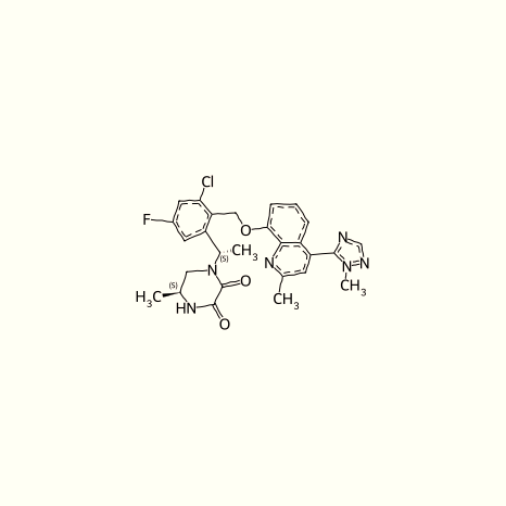 Cc1cc(-c2ncnn2C)c2cccc(OCc3c(Cl)cc(F)cc3[C@H](C)N3C[C@H](C)NC(=O)C3=O)c2n1